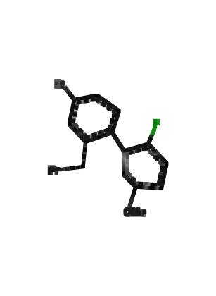 CCc1ccc(-c2cc(OC)ccc2F)c(CC(C)C)c1